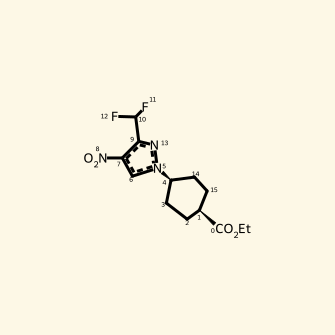 CCOC(=O)[C@H]1CC[C@@H](n2cc([N+](=O)[O-])c(C(F)F)n2)CC1